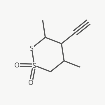 C#CC1C(C)CS(=O)(=O)SC1C